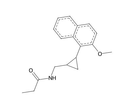 CCC(=O)NCC1CC1c1c(OC)ccc2ccccc12